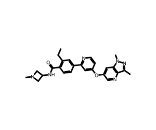 CCc1cc(-c2cc(Oc3cnc4c(C)nn(C)c4c3)ccn2)ccc1C(=O)NC1CN(C)C1